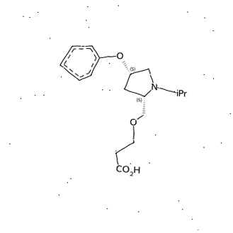 CC(C)N1C[C@@H](Oc2ccccc2)C[C@H]1COCCC(=O)O